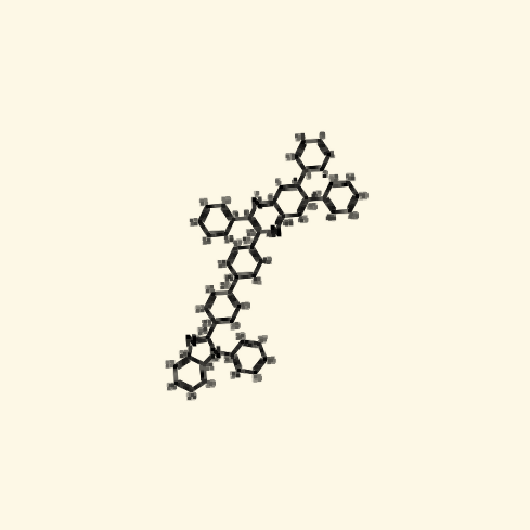 c1ccc(-c2cc3nc(-c4ccccc4)c(-c4ccc(-c5ccc(-c6nc7ccccc7n6-c6ccccc6)cc5)cc4)nc3cc2-c2ccccc2)cc1